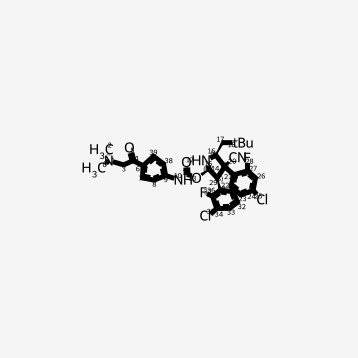 CN(C)CC(=O)c1ccc(NC(=O)O[C@H]2N[C@@H](CC(C)(C)C)[C@](C#N)(c3ccc(Cl)cc3F)[C@H]2c2cccc(Cl)c2F)cc1